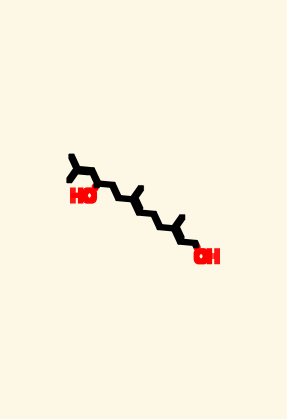 CC(C)=CC(O)CC/C(C)=C/CC/C(C)=C/CO